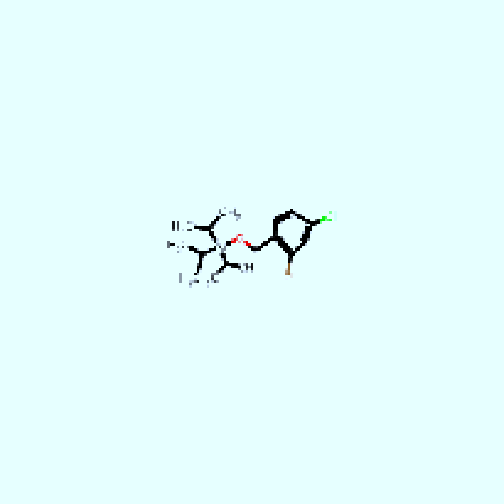 CC(C)[Si](OCc1ccc(Cl)cc1Br)(C(C)C)C(C)C